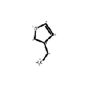 CCC1C=COC1